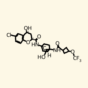 O=C(NC12CCC(NC(=O)[C@@H]3C[C@H](O)c4cc(Cl)ccc4O3)(CC1)C[C@@H]2O)C1CC(OC(F)(F)F)C1